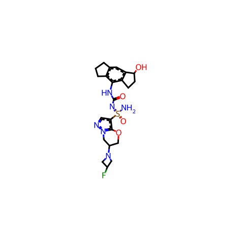 NS(=O)(=NC(=O)Nc1c2c(cc3c1CCC3O)CCC2)c1cnn2c1OCC(N1CC(F)C1)C2